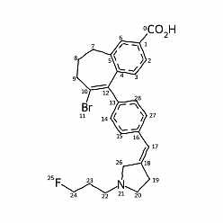 O=C(O)c1ccc2c(c1)CCCC(Br)=C2c1ccc(C=C2CCN(CCCF)C2)cc1